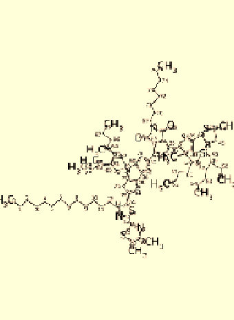 CCCCCCCCCCCCCc1nc(-c2nc(C)c(C)s2)sc1-c1cc2c(s1)-c1sc(-c3sc(-c4cc5c(s4)-c4sc(C)cc4[Si]5(CC(CC)CCCC)CC(CC)CCCC)c4c3C(=O)N(CCCCCCCC)C4=O)cc1[Si]2(CC(CC)CCCC)CC(CC)CCCCC